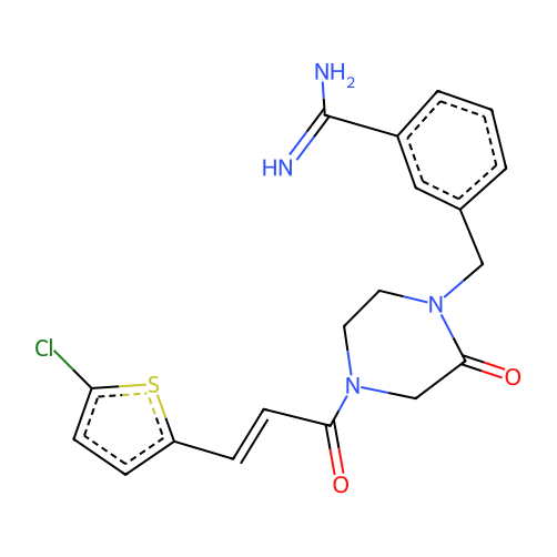 N=C(N)c1cccc(CN2CCN(C(=O)/C=C/c3ccc(Cl)s3)CC2=O)c1